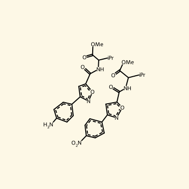 COC(=O)C(NC(=O)c1cc(-c2ccc(N)cc2)no1)C(C)C.COC(=O)C(NC(=O)c1cc(-c2ccc([N+](=O)[O-])cc2)no1)C(C)C